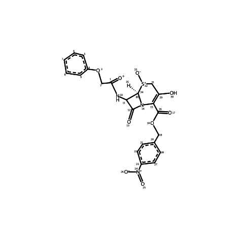 O=C(COc1ccccc1)NC1C(=O)N2C(C(=O)OCc3ccc([N+](=O)[O-])cc3)=C(O)C[S+]([O-])[C@H]12